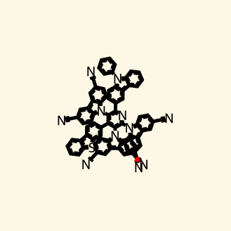 N#Cc1ccc2c(c1)c1cc(C#N)ccc1n2-c1nc(-c2ccc3c(c2)c2ccccc2n3-c2ccccc2)c(-n2c3ccc(C#N)cc3c3cc(C#N)ccc32)c(-c2ccc3c(c2)sc2ccccc23)c1-n1c2ccc(C#N)cc2c2cc(C#N)ccc21